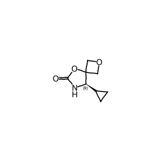 O=C1N[C@H](C2CC2)C2(COC2)O1